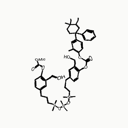 COC(=O)Oc1ccc(CCC[Si](C)(C)O[Si](C)(C)O[Si](C)(C)CCCc2ccc(OC(=O)Oc3ccc(C4(c5ccccc5)CCC(C)(C)C(C)C4)cc3C)c(CO)c2)cc1CO